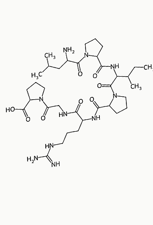 CCC(C)C(NC(=O)C1CCCN1C(=O)C(N)CC(C)C)C(=O)N1CCCC1C(=O)NC(CCCNC(=N)N)C(=O)NCC(=O)N1CCCC1C(=O)O